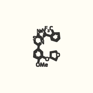 COc1ccc(C2=Nn3c(nnc3-c3ccccc3C(F)(F)F)SC2)cc1O[C@@H]1CCOC1